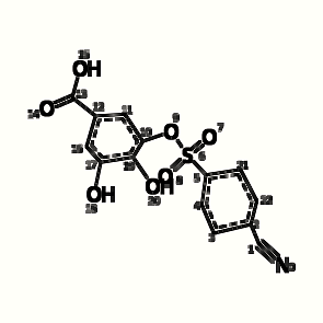 N#Cc1ccc(S(=O)(=O)Oc2cc(C(=O)O)cc(O)c2O)cc1